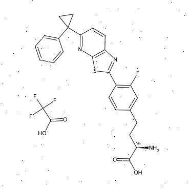 N[C@H](CCc1ccc(-c2nc3ccc(C4(c5ccccc5)CC4)nc3s2)c(F)c1)C(=O)O.O=C(O)C(F)(F)F